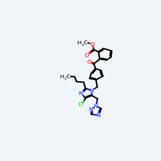 CCCCc1nc(Cl)c(Cn2cncn2)n1Cc1ccc(C(=O)c2ccccc2C(=O)OC)cc1